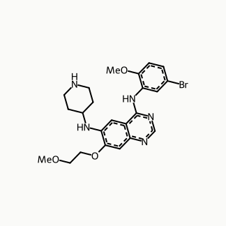 COCCOc1cc2ncnc(Nc3cc(Br)ccc3OC)c2cc1NC1CCNCC1